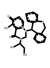 CC(C)C(CO)N1CN(C2c3ccccc3CSc3ccccc32)n2ccc(=O)c(O)c2C1=O